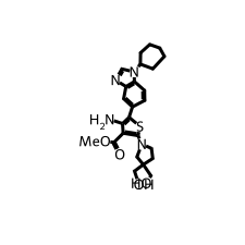 COC(=O)c1c(N2CCC(CO)(CO)C2)sc(-c2ccc3c(c2)ncn3C2CCCCC2)c1N